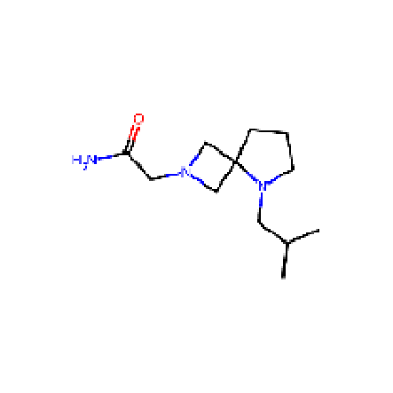 CC(C)CN1CCCC12CN(CC(N)=O)C2